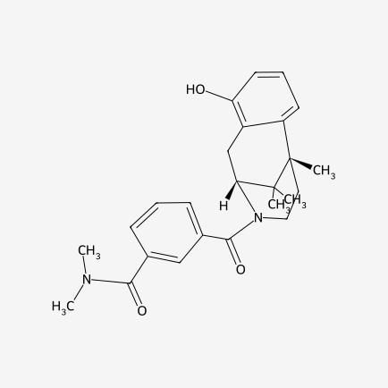 CN(C)C(=O)c1cccc(C(=O)N2CC[C@@]3(C)c4cccc(O)c4C[C@@H]2C3(C)C)c1